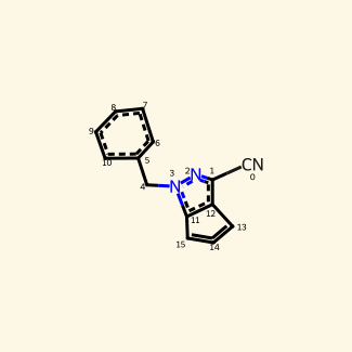 N#Cc1nn(Cc2ccccc2)c2c1C=C=C2